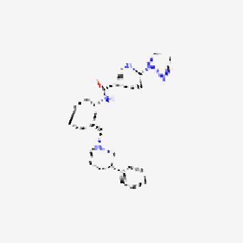 O=C(N[C@H]1CCCC[C@@H]1CN1CCCC(c2ccccc2)C1)c1ccc(-n2cccn2)nc1